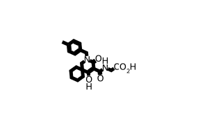 Cc1ccc(CN2CC3(CCCCC3)C(O)=C(C(=O)NCC(=O)O)C2=O)cc1